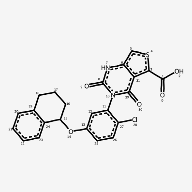 O=C(O)c1scc2[nH]c(=O)n(-c3cc(OC4CCCc5ccccc54)ccc3Cl)c(=O)c12